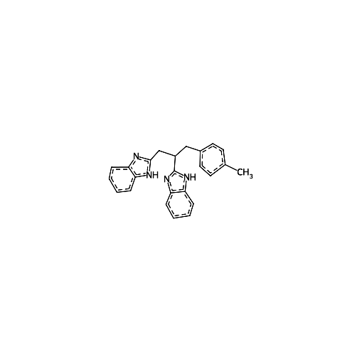 Cc1ccc(CC(Cc2nc3ccccc3[nH]2)c2nc3ccccc3[nH]2)cc1